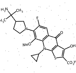 COc1c(N2CCC(C(C)(C)N)C2)c(F)cc2c(=O)c3c(O)c(C(=O)O)sc3n(C3CC3)c12